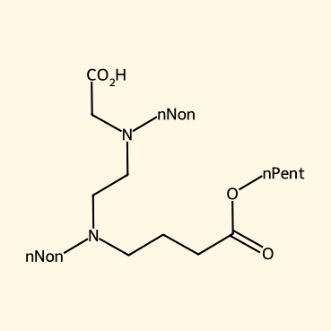 CCCCCCCCCN(CCCC(=O)OCCCCC)CCN(CCCCCCCCC)CC(=O)O